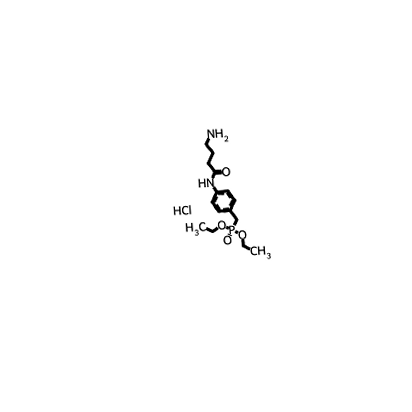 CCOP(=O)(Cc1ccc(NC(=O)CCCN)cc1)OCC.Cl